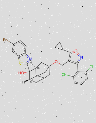 OC1(c2nc3ccc(Br)cc3s2)[C@@H]2CC3C[C@H]1CC(OCc1c(-c4c(Cl)cccc4Cl)noc1C1CC1)(C3)C2